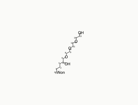 CCCCCCCCCCCCC(O)COCCOCCOCCO